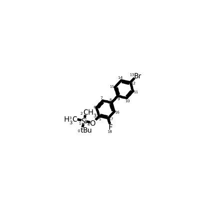 CC(C)(C)[Si](C)(C)Oc1ccc(-c2ccc(Br)cc2)cc1F